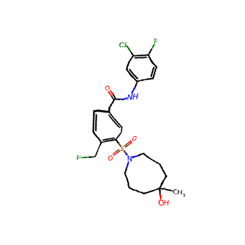 CC1(O)CCCN(S(=O)(=O)c2cc(C(=O)Nc3ccc(F)c(Cl)c3)ccc2CF)CCC1